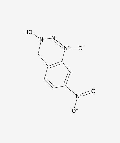 O=[N+]([O-])c1ccc2c(c1)[N+]([O-])=NN(O)C2